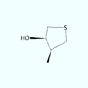 C[C@@H]1CSC[C@@H]1O